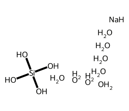 O.O.O.O.O.O.O.O.O[Si](O)(O)O.[NaH]